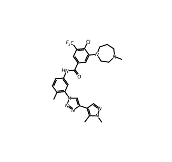 Cc1ccc(NC(=O)c2cc(N3CCCN(C)CC3)c(Cl)c(C(F)(F)F)c2)cc1-n1cc(-c2cnn(C)c2C)nn1